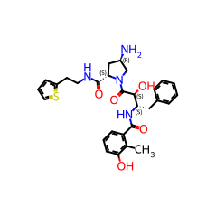 Cc1c(O)cccc1C(=O)N[C@@H](Cc1ccccc1)[C@H](O)C(=O)N1C[C@H](N)C[C@H]1C(=O)NCCc1cccs1